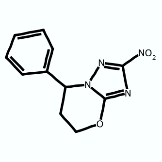 O=[N+]([O-])c1nc2n(n1)C(c1ccccc1)CCO2